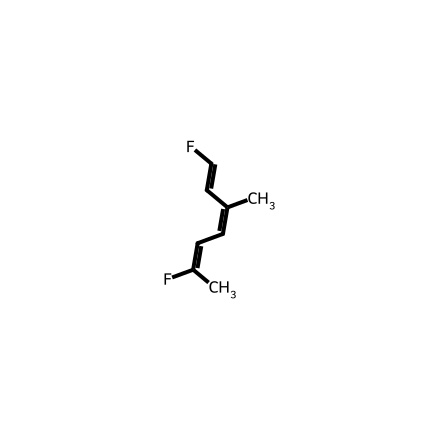 CC(=C/C=C(\C)F)/C=C/F